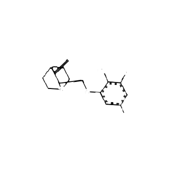 Nc1c(Cl)cc(C(F)(F)F)cc1NCC1C(=O)C2CCN1CC2